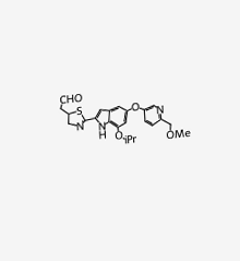 COCc1ccc(Oc2cc(OC(C)C)c3[nH]c(C4=NCC(CC=O)S4)cc3c2)cn1